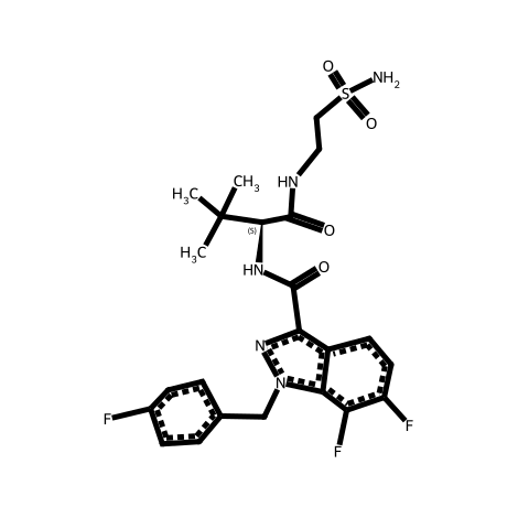 CC(C)(C)[C@H](NC(=O)c1nn(Cc2ccc(F)cc2)c2c(F)c(F)ccc12)C(=O)NCCS(N)(=O)=O